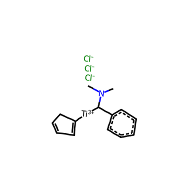 CN(C)[CH]([Ti+3][C]1=CC=CC1)c1ccccc1.[Cl-].[Cl-].[Cl-]